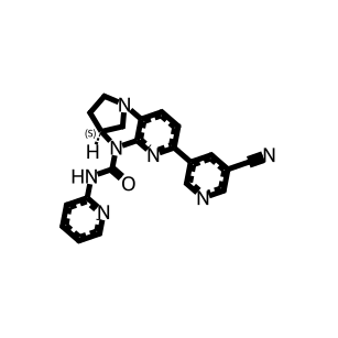 N#Cc1cncc(-c2ccc3c(n2)N(C(=O)Nc2ccccn2)[C@H]2CCN3C2)c1